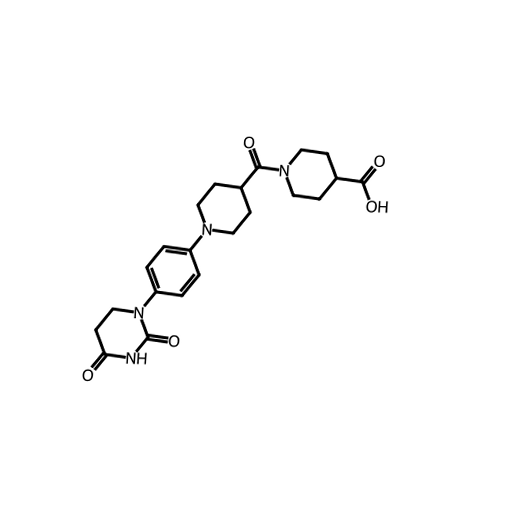 O=C1CCN(c2ccc(N3CCC(C(=O)N4CCC(C(=O)O)CC4)CC3)cc2)C(=O)N1